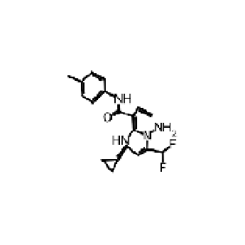 C=C/C(C(=O)Nc1ccc(C)cc1)=C1/NC(=C2CC2)C=C(C(F)F)N1N